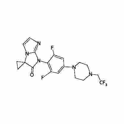 O=C1N(c2c(F)cc(N3CCN(CC(F)(F)F)CC3)cc2F)c2nccn2C12CC2